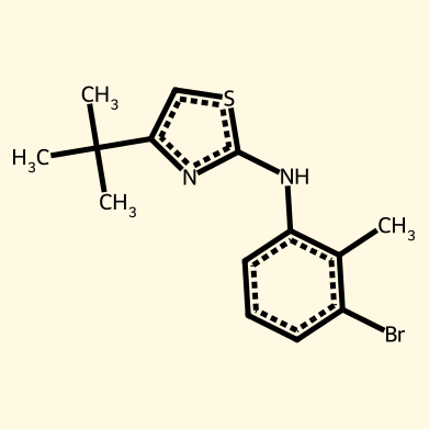 Cc1c(Br)cccc1Nc1nc(C(C)(C)C)cs1